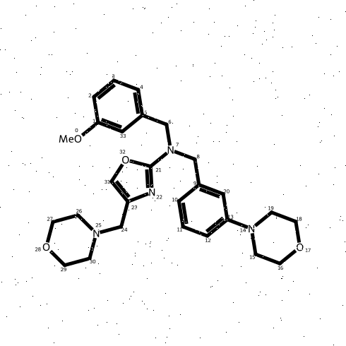 COc1cccc(CN(Cc2cccc(N3CCOCC3)c2)c2nc(CN3CCOCC3)co2)c1